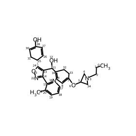 CCCN1CC(OC2=CC=C([C@H](O)c3c(-c4ncccc4C)noc3[C@H]3C=CC(O)=CC3)CC2)C1